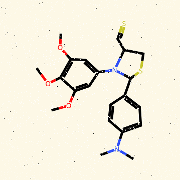 COc1cc(N2C(C=S)CSC2c2ccc(N(C)C)cc2)cc(OC)c1OC